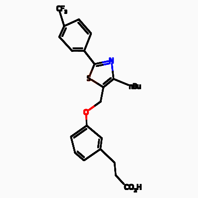 CCCCc1nc(-c2ccc(C(F)(F)F)cc2)sc1COc1cccc(CCC(=O)O)c1